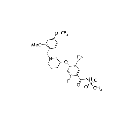 COc1cc(OC(F)(F)F)ccc1CN1CCCC(Oc2cc(F)c(C(=O)NS(C)(=O)=O)cc2C2CC2)C1